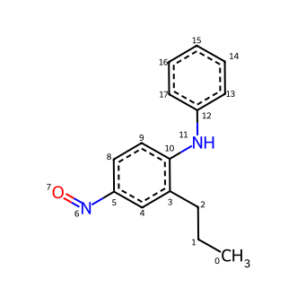 CCCc1cc(N=O)ccc1Nc1ccccc1